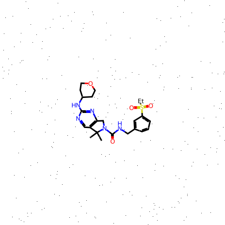 CCS(=O)(=O)c1cccc(CNC(=O)N2Cc3nc(NC4CCOCC4)ncc3C2(C)C)c1